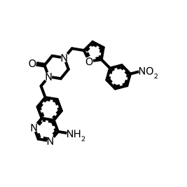 Nc1ncnc2cc(CN3CCN(Cc4ccc(-c5cccc([N+](=O)[O-])c5)o4)CC3=O)ccc12